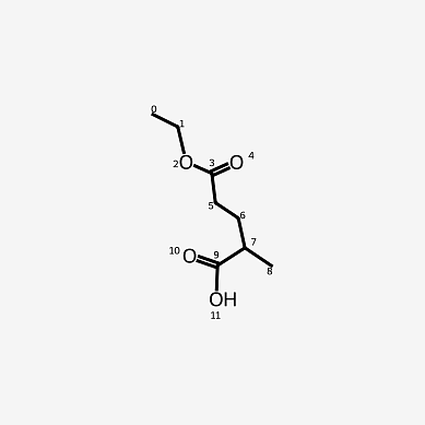 CCOC(=O)CCC(C)C(=O)O